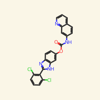 O=C(Nc1ccc2cccnc2c1)Oc1ccc2nc(-c3c(Cl)cccc3Cl)[nH]c2c1